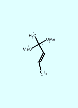 CC=CC(C)(OC)OC